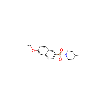 CCOc1ccc2cc(S(=O)(=O)N3CCC(C)CC3)ccc2c1